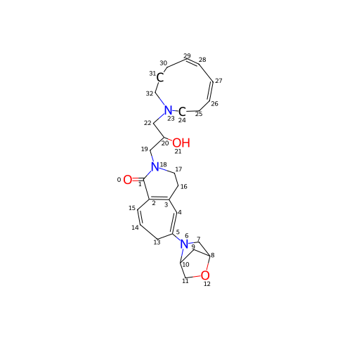 O=C1C2=C(C=C(N3CC4CC3CO4)CC=C2)CCN1CC(O)CN1CC/C=C\C=C/CCC1